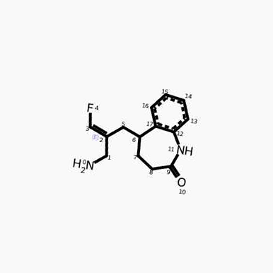 NC/C(=C/F)CC1CCC(=O)Nc2ccccc21